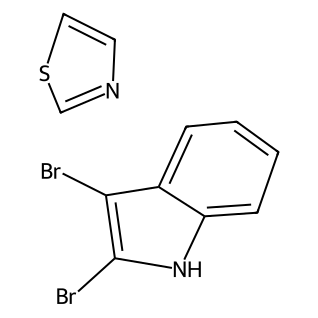 Brc1[nH]c2ccccc2c1Br.c1cscn1